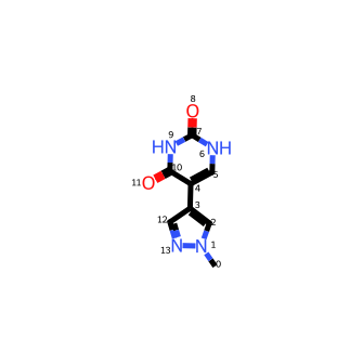 Cn1cc(-c2c[nH]c(=O)[nH]c2=O)cn1